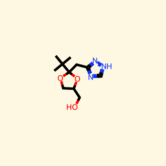 CC(C)(C)C1(Cc2nc[nH]n2)OCC(CO)O1